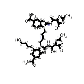 CCc1nc(C)oc1C(=O)/N=c1\sc2cc(C(N)=O)cnc2n1C/C=C/Cn1c(NC(O)c2sc(C)nc2CC)nc2cc(C(N)=O)cc(OCCCO)c21